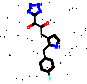 O=C(Cc1cc[nH]c1Cc1ccc(F)cc1)C(=O)c1nn[nH]n1